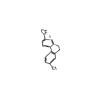 CCc1ccc2c(c1)CCc1cc(C(F)(F)F)ccc1-2